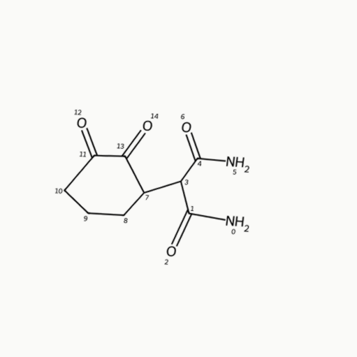 NC(=O)C(C(N)=O)C1CCCC(=O)C1=O